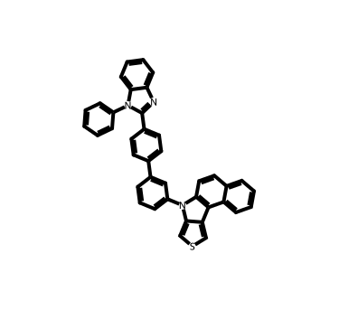 c1ccc(-n2c(-c3ccc(-c4cccc(-n5c6cscc6c6c7ccccc7ccc65)c4)cc3)nc3ccccc32)cc1